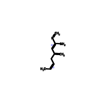 C=N/C(N)=C/C(=C)C/C=C\C